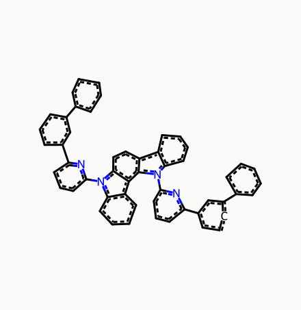 c1ccc(-c2cccc(-c3cccc(-n4c5ccccc5c5c4ccc4c6ccccc6n(-c6cccc(-c7cccc(-c8ccccc8)c7)n6)c45)n3)c2)cc1